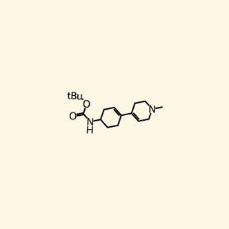 CN1CC=C(C2=CCC(NC(=O)OC(C)(C)C)CC2)CC1